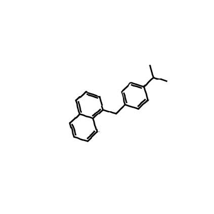 CC(C)c1ccc(Cc2cccc3ccc[c]c23)cc1